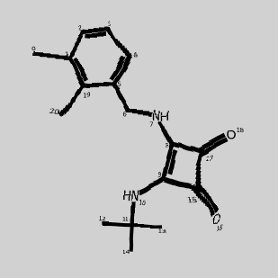 Cc1cccc(CNc2c(NC(C)(C)C)c(=O)c2=O)c1C